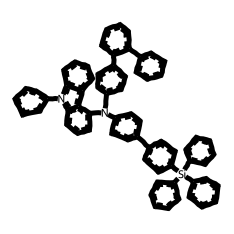 c1ccc(-c2ccccc2-c2ccc(N(c3ccc(-c4ccc([Si](c5ccccc5)(c5ccccc5)c5ccccc5)cc4)cc3)c3cccc4c3c3ccccc3n4-c3ccccc3)cc2)cc1